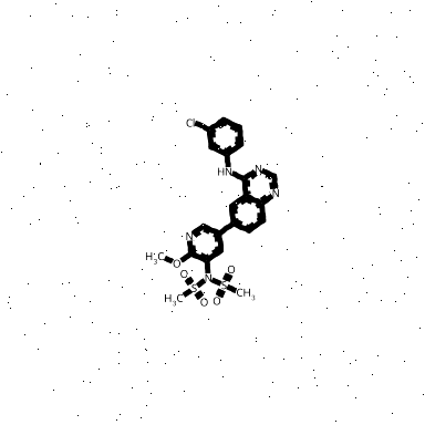 COc1ncc(-c2ccc3ncnc(Nc4cccc(Cl)c4)c3c2)cc1N(S(C)(=O)=O)S(C)(=O)=O